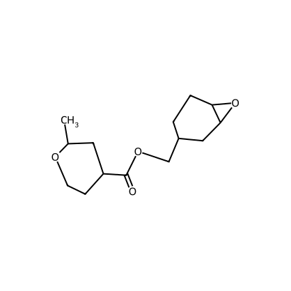 CC1CC(C(=O)OCC2CCC3OC3C2)CCO1